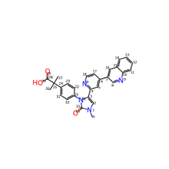 Cn1cc(-c2cc(-c3cnc4ccccc4c3)ccn2)n(-c2ccc(C(C)(C)C(=O)O)cc2)c1=O